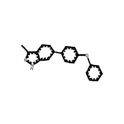 Cc1n[nH]c2cc(-c3ccc(Oc4ccccc4)cc3)ccc12